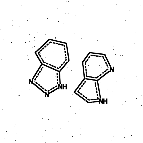 c1ccc2[nH]nnc2c1.c1cnc2[nH]ccc2c1